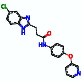 O=C(CCc1nc2cc(Cl)ccc2[nH]1)Nc1ccc(Oc2cccnc2)cc1